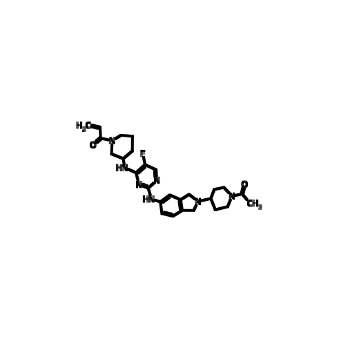 C=CC(=O)N1CCCC(Nc2nc(Nc3ccc4c(c3)CN(C3CCN(C(C)=O)CC3)C4)ncc2F)C1